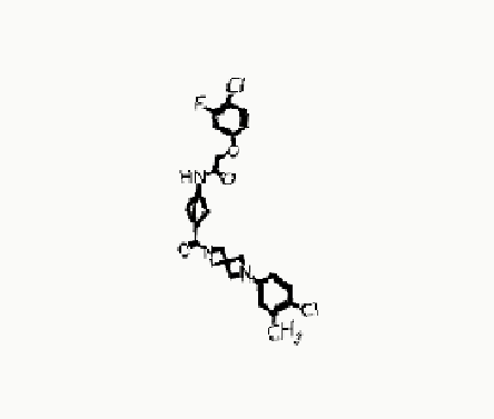 Cc1cc(N2CC3(CN(C(=O)C45CC(NC(=O)COc6ccc(Cl)c(F)c6)(C4)C5)C3)C2)ccc1Cl